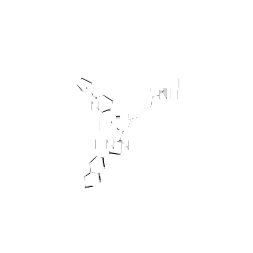 CNC(=O)CCCCCC(NC(=O)c1ccc(-n2cccc2)nc1)c1ncc(-c2ccc3ccccc3c2)[nH]1